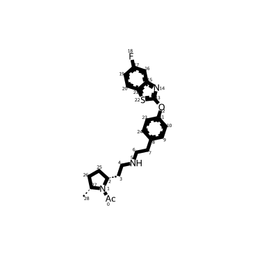 CC(=O)N1[C@@H](CCNCCc2ccc(Oc3nc4cc(F)ccc4s3)cc2)CC[C@H]1C